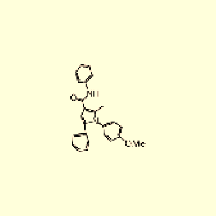 COc1ccc(-n2c(-c3ccccc3)cc(C(=O)Nc3ccccc3)c2C)cc1